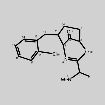 CNC(C)C1=NC2C(=O)C(CCC2Cc2ccccc2Cl)O1